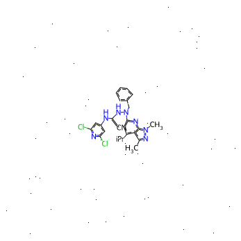 Cc1nn(C)c2nc(N(Cc3ccccc3)N/C(=C\C#N)Nc3cc(Cl)nc(Cl)c3)cc(C(C)C)c12